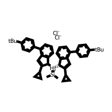 C[Si](C)=[Hf+2]([CH]1C(C2CC2)=Cc2c(-c3ccc(C(C)(C)C)cc3)cccc21)[CH]1C(C2CC2)=Cc2c(-c3ccc(C(C)(C)C)cc3)cccc21.[Cl-].[Cl-]